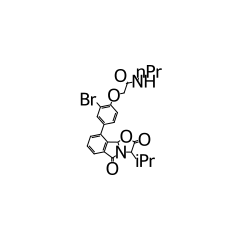 CCCNC(=O)COc1ccc(-c2cccc3c2C2OC(=O)C(C(C)C)N2C3=O)cc1Br